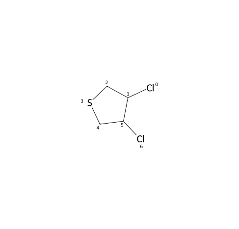 ClC1CSCC1Cl